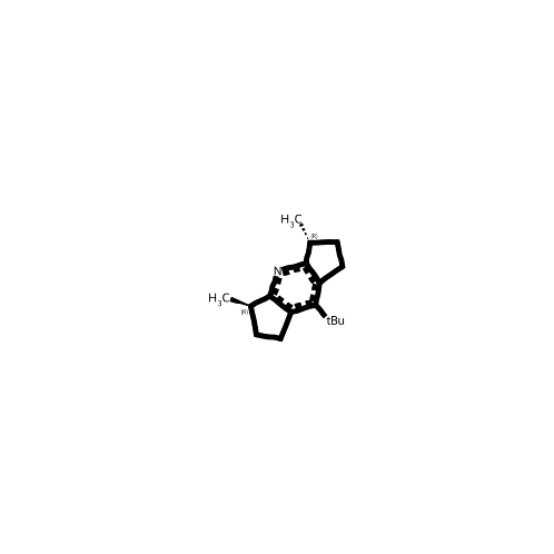 C[C@@H]1CCc2c1nc1c(c2C(C)(C)C)CC[C@H]1C